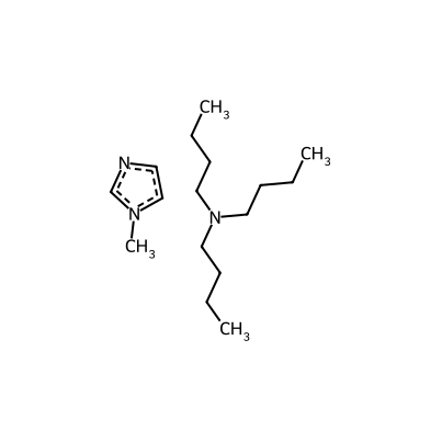 CCCCN(CCCC)CCCC.Cn1ccnc1